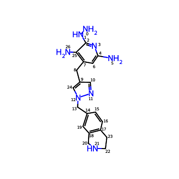 NNc1nc(N)cc(Cc2cnn(Cc3ccc4c(c3)CNCC4)c2)c1N